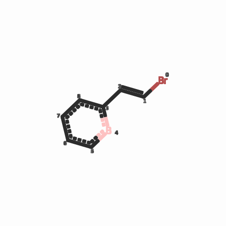 BrC=Cc1bcccc1